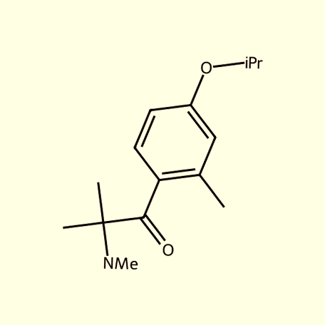 CNC(C)(C)C(=O)c1ccc(OC(C)C)cc1C